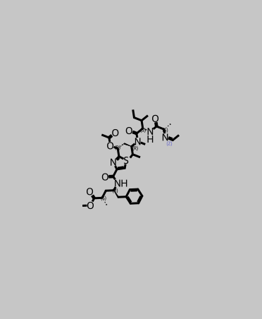 C/C=N\[C@@H](C)C(=O)N[C@H](C(=O)N(C)[C@H](C[C@@H](OC(C)=O)c1nc(C(=O)N[C@@H](Cc2ccccc2)C[C@H](C)C(=O)OC)cs1)C(C)C)C(C)CC